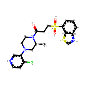 C[C@H]1CN(c2cnccc2Cl)CCN1C(=O)CCS(=O)(=O)c1cccc2ncsc12